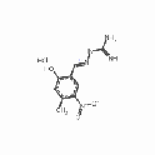 Cc1cc(O)c(/C=N/NC(=N)N)cc1[N+](=O)[O-].Cl